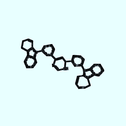 C1=CCc2c(n(-c3cccc(C4C=C(c5cccc(-n6c7c(c8ccccc86)CCC=C7)c5)N=CN4)c3)c3ccccc23)C=C1